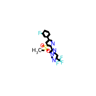 CCS(=O)(=O)c1cc(-c2cccc(F)c2)cnc1-c1cn2cnc(C(F)(F)F)cc2n1